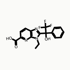 CCn1c(C(O)(c2ccccc2)C(F)(F)F)nc2ccc(C(=O)O)nc21